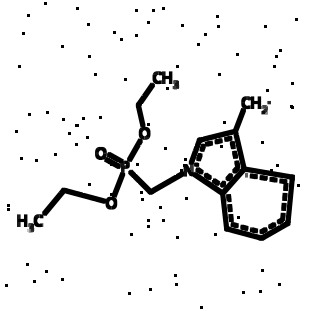 [CH2]c1cn(CP(=O)(OCC)OCC)c2ccccc12